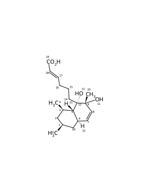 C[C@H]1C[C@@H](C)[C@H]2[C@@H](C=C[C@@](C)(O)[C@]2(O)CCC/C=C/C(=O)O)C1